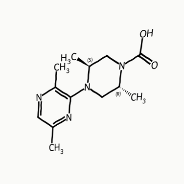 Cc1cnc(C)c(N2C[C@@H](C)N(C(=O)O)C[C@@H]2C)n1